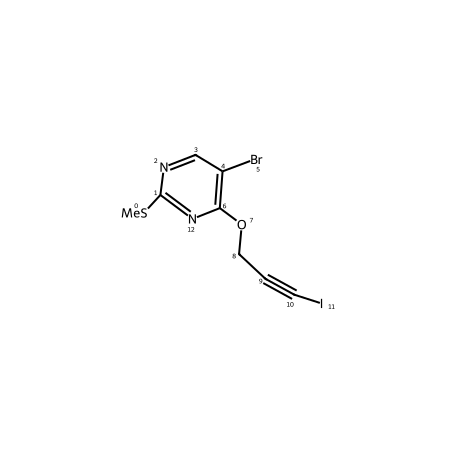 CSc1ncc(Br)c(OCC#CI)n1